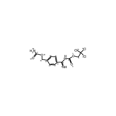 N=C(NC(=O)OCC(Cl)(Cl)Cl)c1ccc(COC(N)=O)cc1